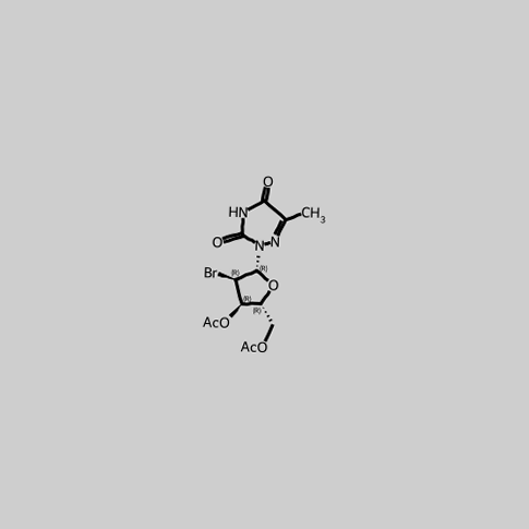 CC(=O)OC[C@H]1O[C@@H](n2nc(C)c(=O)[nH]c2=O)[C@H](Br)[C@@H]1OC(C)=O